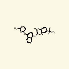 COc1ccc(C(F)(F)C(F)(F)F)cc1NC(=O)Nc1ccc(Oc2ccnc(N)n2)c2ccccc12